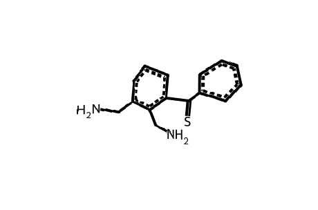 NCc1cccc(C(=S)c2ccccc2)c1CN